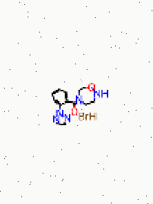 Br.C[C@H]1CN(C(=O)c2ccccc2-n2nccn2)CCNO1